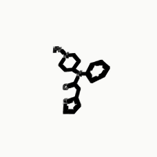 CC(C)N1CCC(N(C(=O)Cc2cccs2)c2ccccc2)CC1